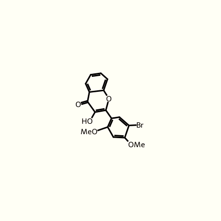 COc1cc(OC)c(-c2oc3ccccc3c(=O)c2O)cc1Br